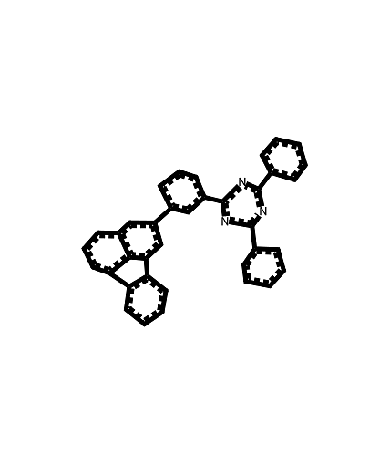 c1ccc(-c2nc(-c3ccccc3)nc(-c3cccc(-c4cc5c6c(cccc6c4)-c4ccccc4-5)c3)n2)cc1